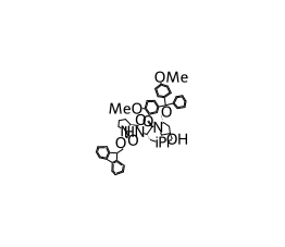 COc1ccc(C(OC[C@@H]2C[C@@H](O)CN2C(=O)[C@H](CC(C)C)NC(=O)[C@@H]2CCCN2C(=O)OCC2c3ccccc3-c3ccccc32)(c2ccccc2)c2ccc(OC)cc2)cc1